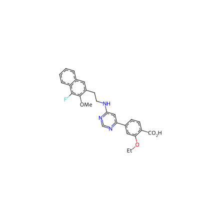 CCOc1cc(-c2cc(NCCc3cc4ccccc4c(F)c3OC)ncn2)ccc1C(=O)O